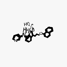 O=C(O)Oc1[nH]c2c(Nc3cccnc3)cccc2c1CCCOc1cccc2ccccc12